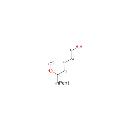 CCCCCC(CCCC[O])OCC